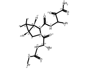 CCCC(NC(=O)[C@@H]1[C@@H]2[C@H](CN1C(=O)[C@@H](NC(=O)OC(C)C)C(C)(C)C)C2(C)C)C(=O)C(N)=O